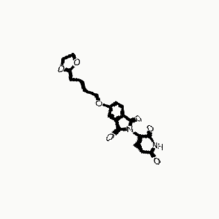 O=C1CCC(N2C(=O)c3ccc(OCCCCC4OCCO4)cc3C2=O)C(=O)N1